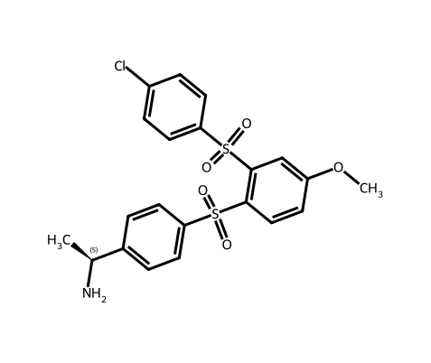 COc1ccc(S(=O)(=O)c2ccc([C@H](C)N)cc2)c(S(=O)(=O)c2ccc(Cl)cc2)c1